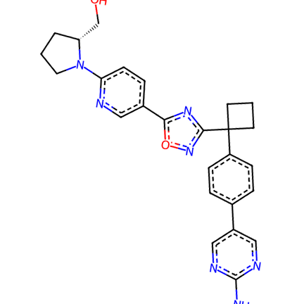 Nc1ncc(-c2ccc(C3(c4noc(-c5ccc(N6CCC[C@@H]6CO)nc5)n4)CCC3)cc2)cn1